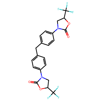 O=C1OC(C(F)(F)F)CN1c1ccc(Cc2ccc(N3CC(C(F)(F)F)OC3=O)cc2)cc1